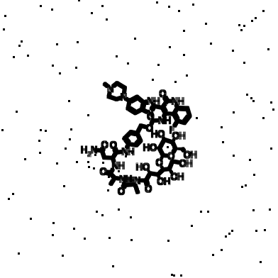 CC(NC(=O)C(C)NC(=O)[C@H](O)[C@H](O)[C@@H](O[C@@H]1O[C@H](CO)[C@H](O)[C@H](O)[C@H]1O)[C@H](O)CO)C(=O)NC(CC(N)=O)C(=O)Nc1ccc(COC(=O)Nc2c(-c3nc4ccc(N5CCN(C)CC5)cc4[nH]3)c(=O)[nH]c3cccc(F)c23)cc1